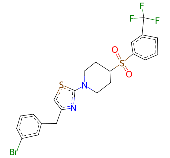 O=S(=O)(c1cccc(C(F)(F)F)c1)C1CCN(c2nc(Cc3cccc(Br)c3)cs2)CC1